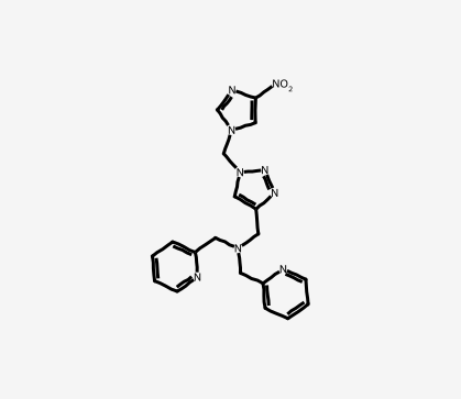 O=[N+]([O-])c1cn(Cn2cc(CN(Cc3ccccn3)Cc3ccccn3)nn2)cn1